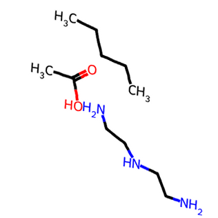 CC(=O)O.CCCCC.NCCNCCN